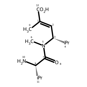 C/C(=C\[C@H](C(C)C)N(C)C(=O)[C@@H](N)C(C)C)C(=O)O